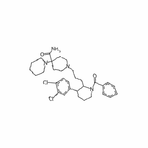 NC(=O)C1(N2CCCCC2)CCN(CCCC2C(c3ccc(Cl)c(Cl)c3)CCCN2C(=O)c2ccccc2)CC1